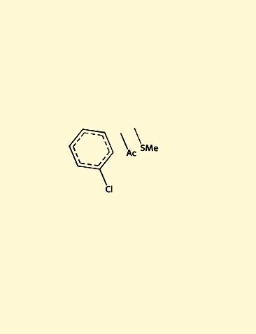 CC(C)=O.CSC.Clc1ccccc1